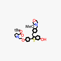 COc1cc(Cc2c(-c3ccc(OCCN4CCCC4C(=O)OC(C)(C)C)cc3)sc3cc(O)ccc23)ccc1CN1CCOCC1